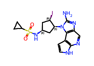 Nc1nc2cnc3[nH]ccc3c2n1[C@H]1C[C@@H](NS(=O)(=O)C2CC2)C[C@H]1I